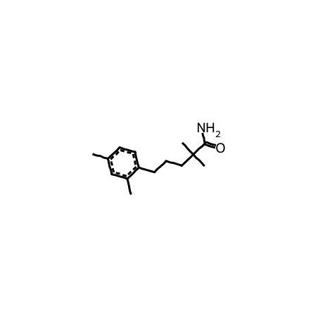 Cc1ccc(CCCC(C)(C)C(N)=O)c(C)c1